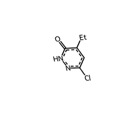 CCc1cc(Cl)n[nH]c1=O